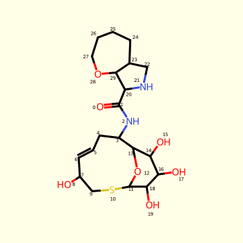 O=C(NC1C/C=C/C(O)CSC2OC1C(O)C(O)C2O)C1NCC2CCCCOC21